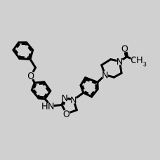 CC(=O)N1CCN(c2ccc(N3COC(Nc4ccc(OCc5ccccc5)cc4)=N3)cc2)CC1